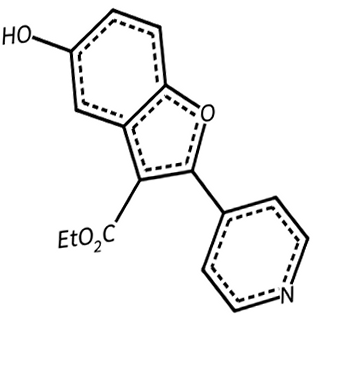 CCOC(=O)c1c(-c2ccncc2)oc2ccc(O)cc12